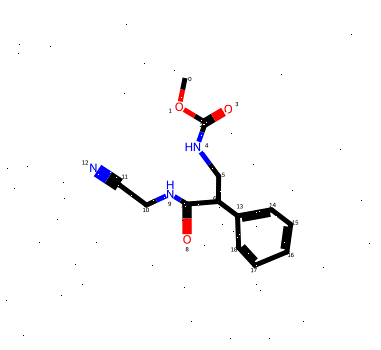 COC(=O)NCC(C(=O)NCC#N)c1ccccc1